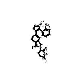 Cn1ncc(-c2ccc3c(c2)CN(C2CCC(=O)NC2=O)C3=O)c1-c1cccnc1N